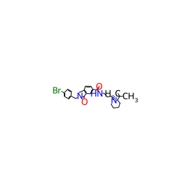 CC(C)C1CCCCN1CCCNC(=O)c1ccc2c(c1)C(=O)N(Cc1ccc(Br)cc1)C2